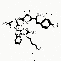 C[C@H](NC(=O)[C@@H](N)Cc1ccc(O)cc1)C(=O)N[C@@H](CC(=O)O)C(=O)N[C@@H](Cc1ccccc1)C(=O)N[C@@H](CCCCN)C(=O)O